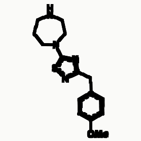 COc1ccc(Cc2nsc(N3CCCNCC3)n2)cc1